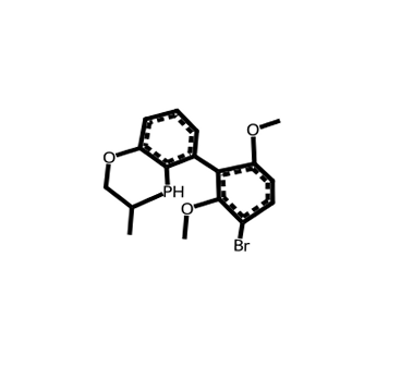 COc1ccc(Br)c(OC)c1-c1cccc2c1PC(C)CO2